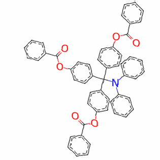 O=C(Oc1ccc(C(c2ccc(OC(=O)c3ccccc3)cc2)(c2ccc(OC(=O)c3ccccc3)cc2)N(c2ccccc2)c2ccccc2)cc1)c1ccccc1